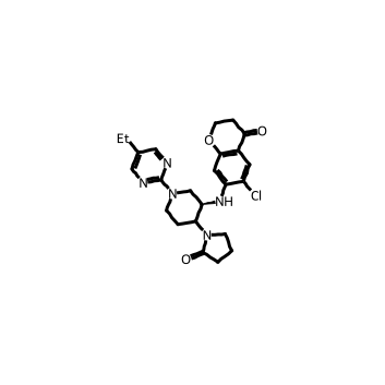 CCc1cnc(N2CCC(N3CCCC3=O)[C@H](Nc3cc4c(cc3Cl)C(=O)CCO4)C2)nc1